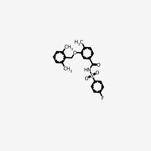 Cc1ccc(C(=O)NS(=O)(=O)c2ccc(F)cc2)cc1OCc1c(C)cccc1C